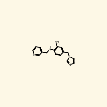 O=[N+]([O-])c1cc(Cn2ccnc2)ccc1NCc1cccnc1